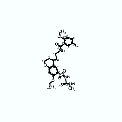 CCOc1cc2c(cc1S(=O)(=O)NC(=S)NC)C(CCNC(=O)c1cc(Cl)ccc1OC)CCO2